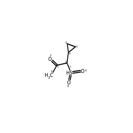 CC(=O)C(C1CC1)[SH](=O)=O